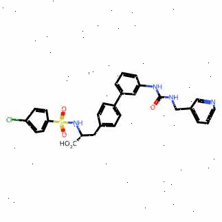 O=C(NCc1cccnc1)Nc1cccc(-c2ccc(C[C@H](NS(=O)(=O)c3ccc(Cl)cc3)C(=O)O)cc2)c1